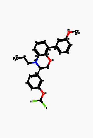 FC(F)Oc1cccc([C@H]2COc3c(-c4cccc(OC(F)(F)F)c4)cccc3N2CCC(F)(F)F)c1